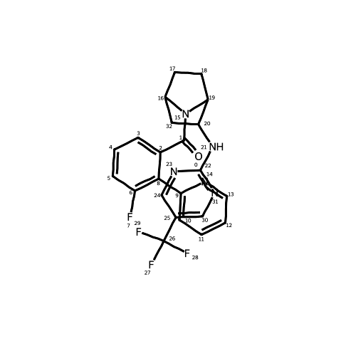 O=C(c1cccc(F)c1-c1ccccn1)N1C2CCC1C(Nc1ncc(C(F)(F)F)cn1)C2